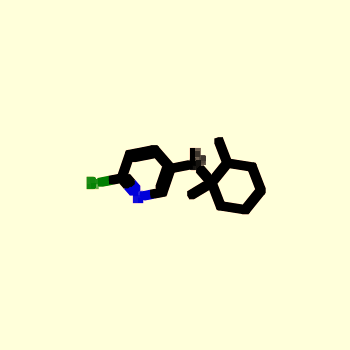 CC1CCCCC1(C)[SiH2]c1ccc(Br)nc1